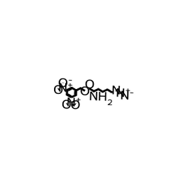 [N-]=[N+]=NCCCC[C@H](N)C(=O)OCc1cc([N+](=O)[O-])cc([N+](=O)[O-])c1